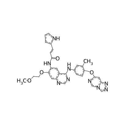 COCCOc1cc2ncnc(Nc3ccc(Oc4cc5nncn5cn4)c(C)c3)c2cc1NC(=O)/C=C/c1ccc[nH]1